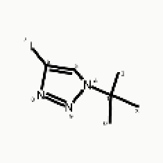 CC(C)(C)n1cc(I)nn1